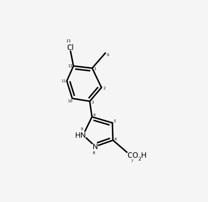 Cc1cc(-c2cc(C(=O)O)n[nH]2)ccc1Cl